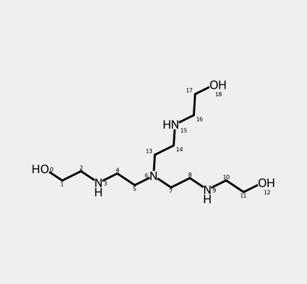 OCCNCCN(CCNCCO)CCNCCO